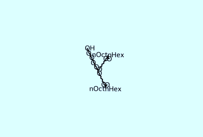 CCCCCCCCC(CCCCCC)C(=O)OCCCCCCOCC(COCCOCCOCCOCCO)OCCCCCCOC(=O)C(CCCCCC)CCCCCCCC